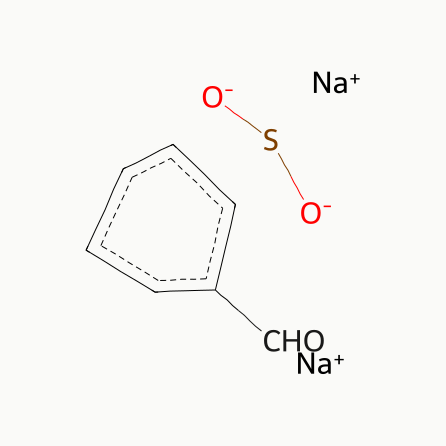 O=Cc1ccccc1.[Na+].[Na+].[O-]S[O-]